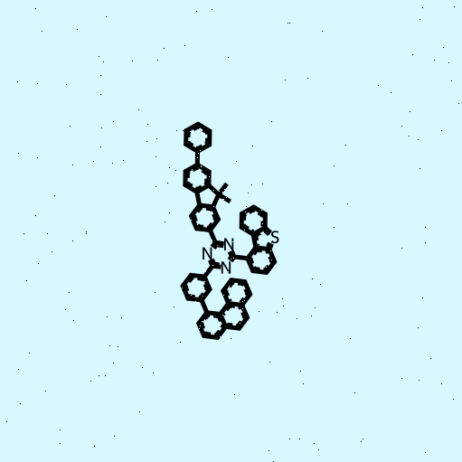 CC1(C)c2cc(-c3ccccc3)ccc2-c2ccc(-c3nc(-c4cccc(-c5cccc6ccc7ccccc7c56)c4)nc(-c4cccc5sc6ccccc6c45)n3)cc21